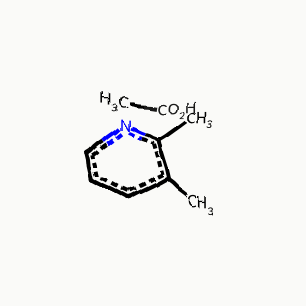 CC(=O)O.Cc1cccnc1C